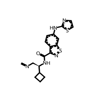 C=NC[C@@H](NC(=O)c1nsc2cc(Nc3nccs3)ccc12)C1CCC1